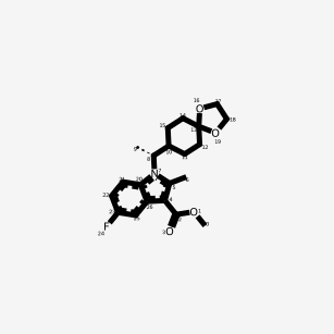 COC(=O)c1c(C)n([C@H](C)C2CCC3(CC2)OCCO3)c2ccc(F)cc12